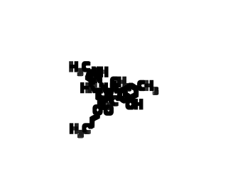 CCCCOC(=O)c1cc(Nc2cc(C)[nH]n2)nc(N(C)C2C(C)CC3(O)CC(C)CC2C3)n1